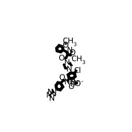 COc1ccccc1-c1noc(C)c1C(=O)N1CCN(c2cc(NC(=O)c3ccc(-n4cnnn4)cc3)c([N+](=O)[O-])cc2Cl)CC1